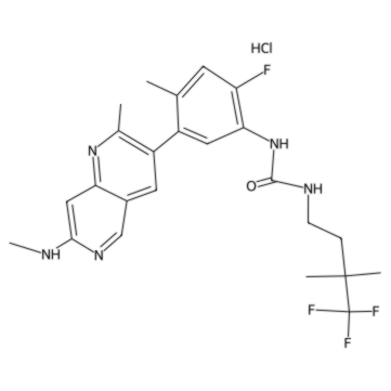 CNc1cc2nc(C)c(-c3cc(NC(=O)NCCC(C)(C)C(F)(F)F)c(F)cc3C)cc2cn1.Cl